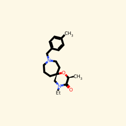 CCN1C[C@]2(CCCN(Cc3ccc(C)cc3)CC2)O[C@@H](C)C1=O